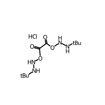 CC(C)(C)NNOC(=O)C(=O)ONNC(C)(C)C.Cl